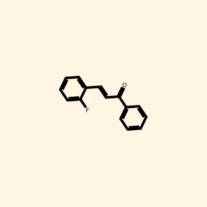 O=C(C=Cc1ccccc1F)c1ccccc1